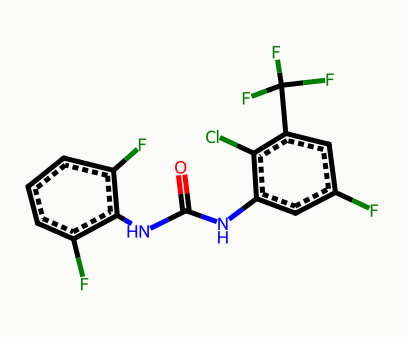 O=C(Nc1cc(F)cc(C(F)(F)F)c1Cl)Nc1c(F)cccc1F